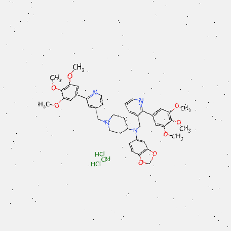 COc1cc(-c2cc(CN3CCC(N(Cc4cccnc4-c4cc(OC)c(OC)c(OC)c4)c4ccc5c(c4)OCO5)CC3)ccn2)cc(OC)c1OC.Cl.Cl.Cl